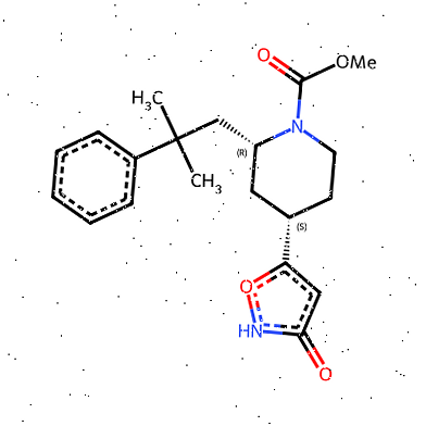 COC(=O)N1CC[C@H](c2cc(=O)[nH]o2)C[C@@H]1CC(C)(C)c1ccccc1